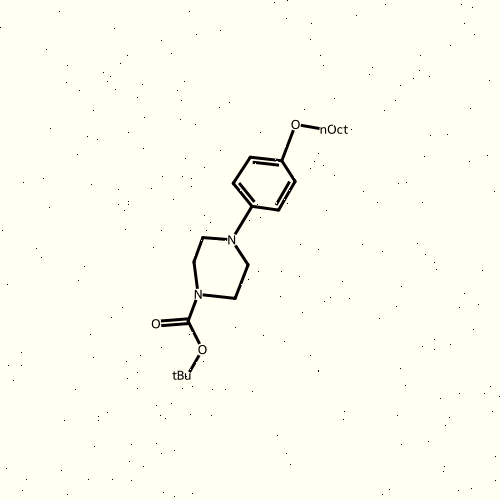 CCCCCCCCOc1ccc(N2CCN(C(=O)OC(C)(C)C)CC2)cc1